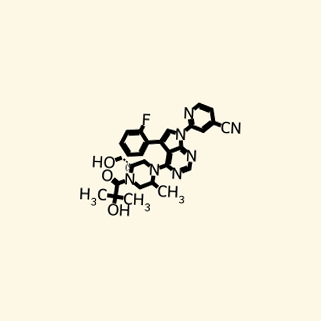 CC1CN(C(=O)C(C)(C)O)[C@H](CO)CN1c1ncnc2c1c(-c1ccccc1F)cn2-c1cc(C#N)ccn1